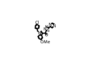 COc1ccc2c(c1)c(C(=O)c1nnc(-c3cnccn3)s1)cn2Cc1ccc(Cl)cc1